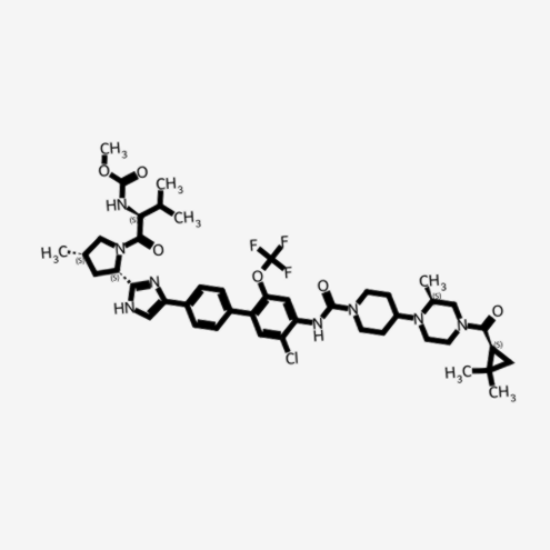 COC(=O)N[C@H](C(=O)N1C[C@@H](C)C[C@H]1c1nc(-c2ccc(-c3cc(Cl)c(NC(=O)N4CCC(N5CCN(C(=O)[C@H]6CC6(C)C)C[C@@H]5C)CC4)cc3OC(F)(F)F)cc2)c[nH]1)C(C)C